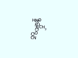 Cc1cc2c(nc1N1CCC(Oc3cccc(C#N)c3)CC1)CNC2=O